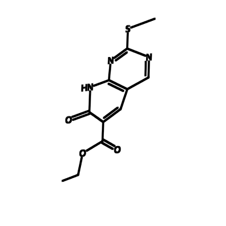 CCOC(=O)c1cc2cnc(SC)nc2[nH]c1=O